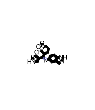 O=S1(=O)CCC=C(/C(=N\c2ccc3[nH]ncc3c2)c2c[nH]nc2C(F)(F)F)C1